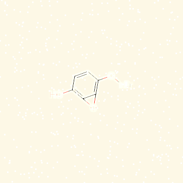 CCCOc1ccc(O)c2c1O2